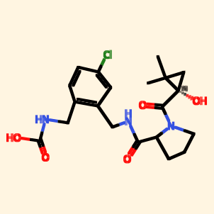 CC1(C)C[C@@]1(O)C(=O)N1CCCC1C(=O)NCc1cc(Cl)ccc1CNC(=O)O